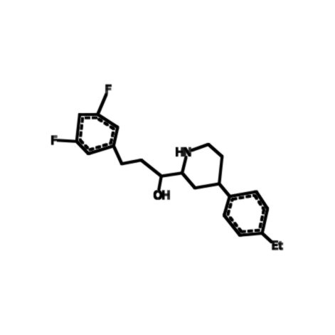 CCc1ccc(C2CCNC(C(O)CCc3cc(F)cc(F)c3)C2)cc1